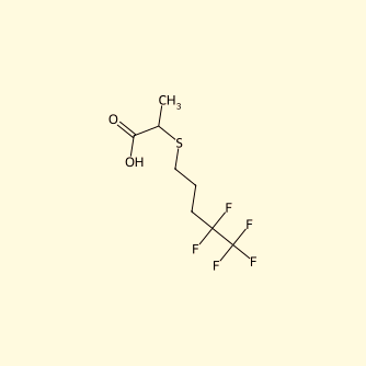 CC(SCCCC(F)(F)C(F)(F)F)C(=O)O